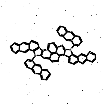 c1ccc2cc3c(B4c5cc6ccc7c8c(cc9ccc(c5-c5ccc%10cc%11ccccc%11cc%10c54)c6c97)B(c4cccc5cc6ccccc6cc45)c4c-8ccc5cc6ccccc6cc45)cccc3cc2c1